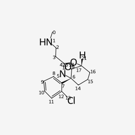 CNCCC1=N[C@@]2(c3ccccc3Cl)CCC[C@@H](O1)C2=O